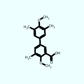 COc1c(C)cc(-c2cc(C)c(OC)c(C(=O)O)c2)cc1C